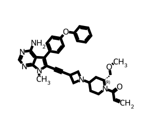 C=CC(=O)N1CCC(N2CC(C#Cc3c(-c4ccc(Oc5ccccc5)cc4)c4c(N)ncnc4n3C)C2)C[C@@H]1COC